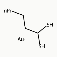 CCCCCC(S)S.[Au]